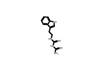 N=C(N)NC(=N)NCCc1c[nH]c2ccccc12